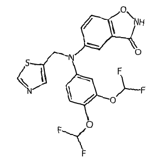 O=c1[nH]oc2ccc(N(Cc3cncs3)c3ccc(OC(F)F)c(OC(F)F)c3)cc12